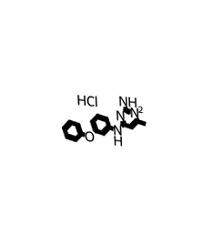 Cc1cc(Nc2cccc(Oc3ccccc3)c2)nc(N)n1.Cl